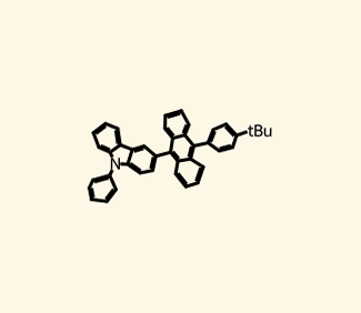 CC(C)(C)c1ccc(-c2c3ccccc3c(-c3ccc4c(c3)c3ccccc3n4-c3ccccc3)c3ccccc23)cc1